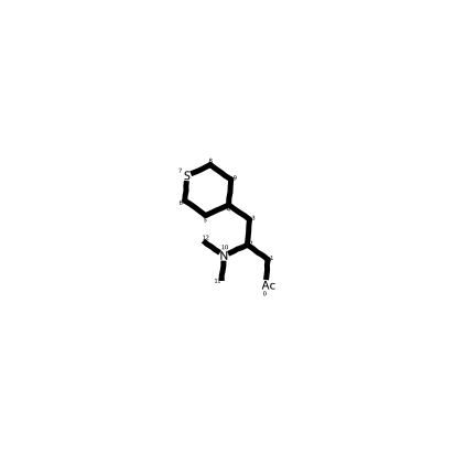 CC(=O)CC(CC1CCSCC1)N(C)C